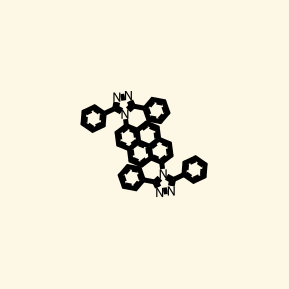 c1ccc(-c2nnc(-c3ccccc3)n2-c2ccc3ccc4c(-n5c(-c6ccccc6)nnc5-c5ccccc5)ccc5ccc2c3c54)cc1